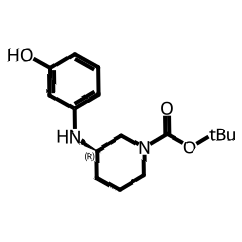 CC(C)(C)OC(=O)N1CCC[C@@H](Nc2cccc(O)c2)C1